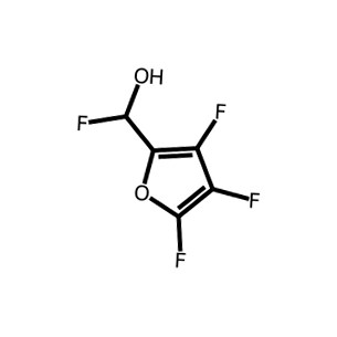 OC(F)c1oc(F)c(F)c1F